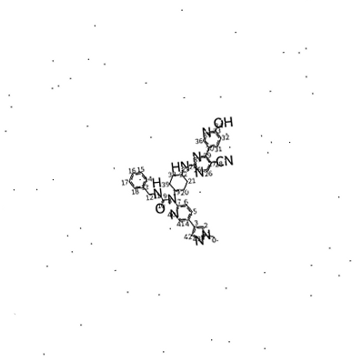 Cn1cc(-c2ccc(N(C(=O)NCc3ccccc3)[C@H]3CC[C@H](Nc4ncc(C#N)c(-c5ccc(O)nc5)n4)CC3)nc2)cn1